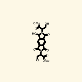 COC(=O)C(CO)N1C(=O)c2cc3c(cc2C1=O)C(O)N(C(CO)C(=O)OC)C3=O